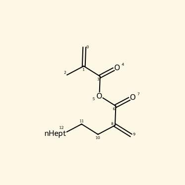 C=C(C)C(=O)OC(=O)C(=C)CCCCCCCCC